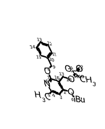 CCC(C)Oc1cc(C)nc(OCc2ccccc2)c1COS(C)(=O)=O